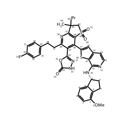 COc1cccc2c1CC[C@H]2Nc1nccc2cc(-c3c(-c4n[nH]c(=O)o4)c(CCc4ccc(F)cc4)nc4c3S(=O)(=O)CC4(C)C(C)C)sc12